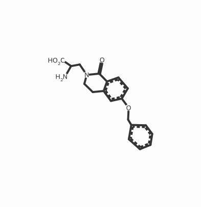 NC(CN1CCc2cc(OCc3ccccc3)ccc2C1=O)C(=O)O